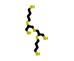 SCCCCSC(CS)CSCC(CS)SCCCCS